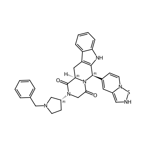 O=C1[C@H]2Cc3c([nH]c4ccccc34)[C@@H](C3=CC4=CNSN4C=C3)N2C(=O)CN1[C@@H]1CCN(Cc2ccccc2)C1